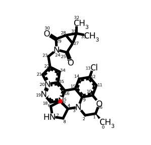 C[C@H]1CN(C2CCNC2)c2c(cc(Cl)cc2-c2ncnn3cc(CN4C(=O)C5C(C4=O)C5(C)C)cc23)O1